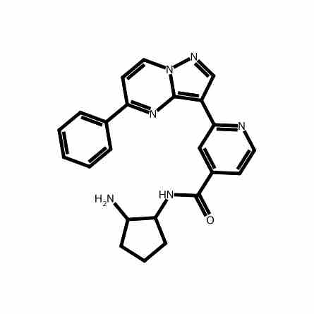 NC1CCCC1NC(=O)c1ccnc(-c2cnn3ccc(-c4ccccc4)nc23)c1